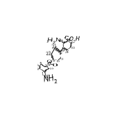 Nc1cccc(C(=O)Oc2ccc(-c3cccc(C(=O)O)c3N)cc2)c1